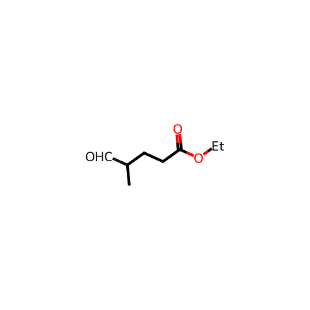 CCOC(=O)CCC(C)C=O